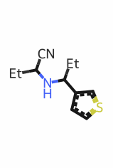 CCC(C#N)NC(CC)c1ccsc1